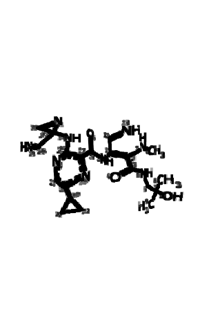 CN/C(C(=O)NCC(C)(C)O)=C(\C=N)NC(=O)c1nc(C2CC2)cnc1NC1(C=N)C=N1